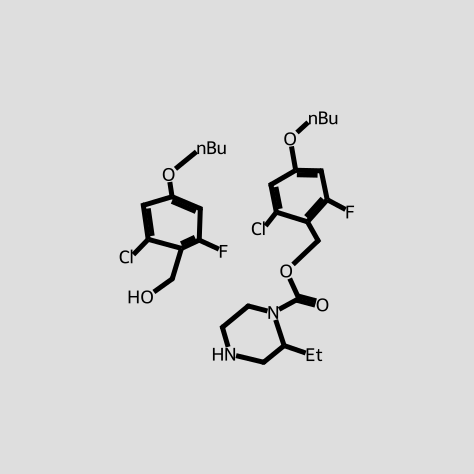 CCCCOc1cc(F)c(CO)c(Cl)c1.CCCCOc1cc(F)c(COC(=O)N2CCNCC2CC)c(Cl)c1